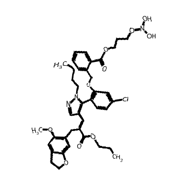 CCCCn1ncc(/C=C(\Cc2cc3c(cc2OC)CCO3)C(=O)OCCC)c1-c1ccc(Cl)cc1OCc1ccccc1C(=O)OCCCON(O)O